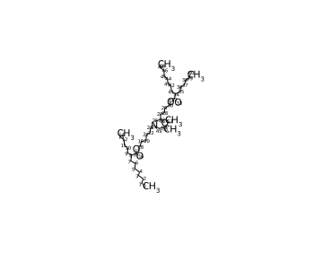 CCCCCCCCC(CCCCCC)C(=O)OCCCCCCN(CCCCCCOC(=O)C(CCCCCC)CCCCCCCC)CC(C)OC